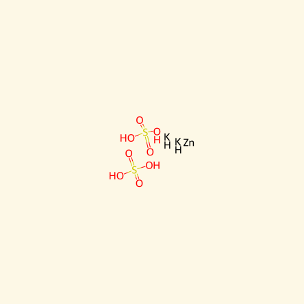 O=S(=O)(O)O.O=S(=O)(O)O.[KH].[KH].[Zn]